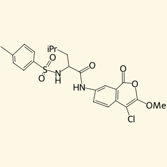 COc1oc(=O)c2cc(NC(=O)C(CC(C)C)NS(=O)(=O)c3ccc(C)cc3)ccc2c1Cl